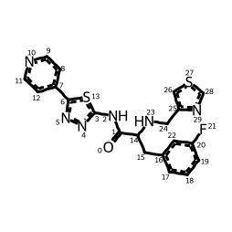 O=C(Nc1nnc(-c2ccncc2)s1)C(Cc1cccc(F)c1)NCc1cscn1